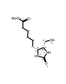 COC(=O)CCCCC[C@H]1NC(=O)N[C@H]1CO